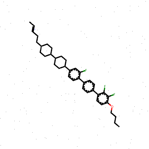 C/C=C/CCC1CCC(C2CCC(c3ccc(-c4ccc(-c5ccc(OCCCC)c(F)c5F)cc4)c(F)c3)CC2)CC1